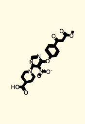 COC(=O)CC(=O)c1ccc(Oc2ncnc(N3CCC(C(=O)O)CC3)c2[N+](=O)[O-])cc1